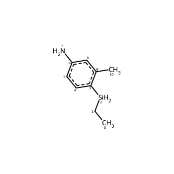 CC[SiH2]c1ccc(N)cc1C